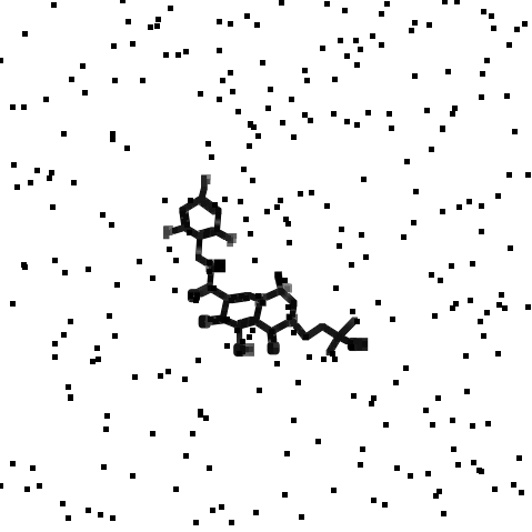 C[C@H]1CN(CCC(C)(C)O)C(=O)c2c(O)c(=O)c(C(=O)NCc3c(F)cc(F)cc3F)cn21